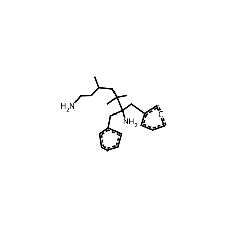 CC(CCN)CC(C)(C)C(N)(Cc1ccccc1)Cc1ccccc1